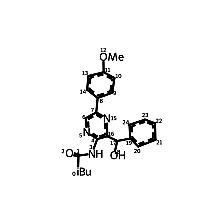 CCC(C)C(=O)Nc1ncc(-c2ccc(OC)cc2)nc1C(O)c1ccccc1